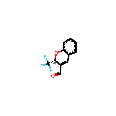 O=CC1=Cc2ccccc2O[C@H]1C(F)(F)F